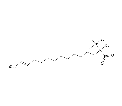 CCCCCCCCC=CCCCCCCCCCCC(CC)(P(=O)=O)[N+](C)(C)CC